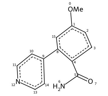 COc1ccc(C(N)=O)c(-c2ccncc2)c1